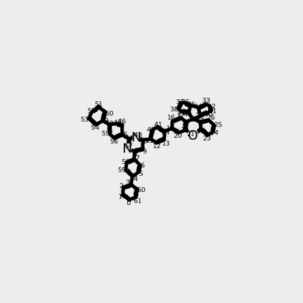 c1ccc(-c2ccc(-c3cc(-c4ccc(-c5ccc6c(c5)Oc5ccccc5C65c6ccccc6-c6ccccc65)cc4)nc(-c4ccc(-c5ccccc5)cc4)n3)cc2)cc1